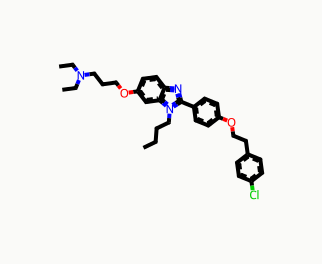 CCCCn1c(-c2ccc(OCCc3ccc(Cl)cc3)cc2)nc2ccc(OCCCN(CC)CC)cc21